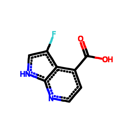 O=C(O)c1ccnc2[nH]cc(F)c12